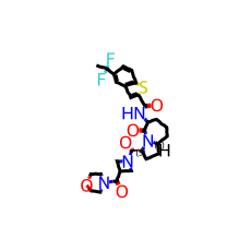 CC(F)(F)c1ccc2sc(C(=O)NC3CCC[C@H]4CC[C@@H](C(=O)N5CC(C(=O)N6CCOCC6)C5)N4C3=O)cc2c1